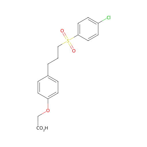 O=C(O)COc1ccc(CCCS(=O)(=O)c2ccc(Cl)cc2)cc1